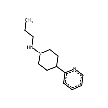 CCCNN1CCC(c2ccccn2)CC1